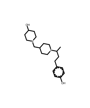 CC(CCc1ccc(O)cc1)N1CCC(CN2CCC(O)CC2)CC1